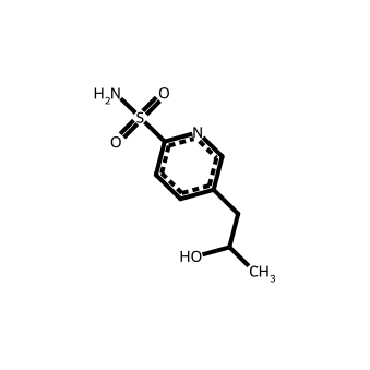 CC(O)Cc1ccc(S(N)(=O)=O)nc1